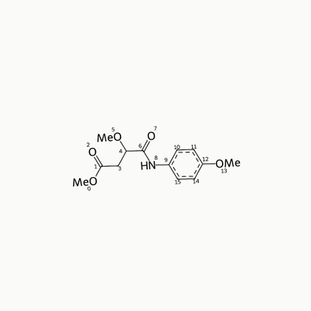 COC(=O)CC(OC)C(=O)Nc1ccc(OC)cc1